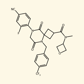 CN(C(=O)C1CC2(C1)C(=O)N(c1ccc(C#N)cc1F)CC(=O)N2Cc1ccc(C(F)(F)F)cc1)C1COC1